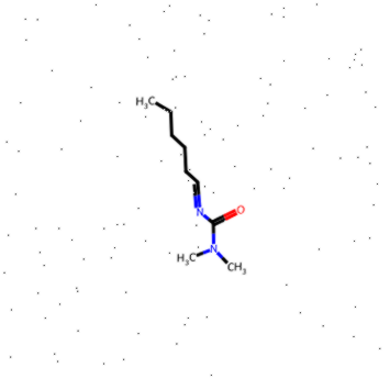 CCCCCC=NC(=O)N(C)C